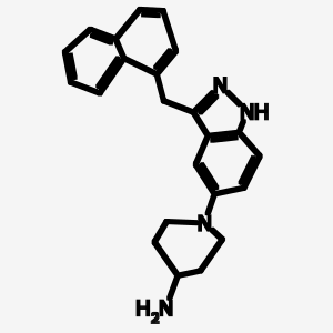 NC1CCN(c2ccc3[nH]nc(Cc4cccc5ccccc45)c3c2)CC1